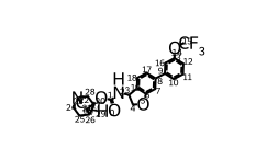 O=C(NC1COc2cc(-c3cccc(OC(F)(F)F)c3)ccc21)O[C@H]1CN2CCC1CC2